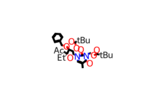 CC[C@@]1(C(C)=O)O[C@@H](n2cc(C)c(=O)n(COC(=O)C(C)(C)C)c2=O)[C@@H](OC(=O)C(C)(C)C)C1OCc1ccccc1